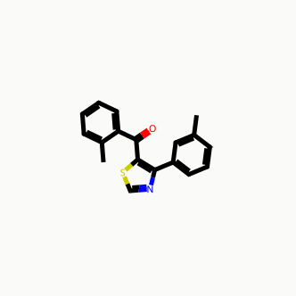 Cc1[c]ccc(-c2ncsc2C(=O)c2ccccc2C)c1